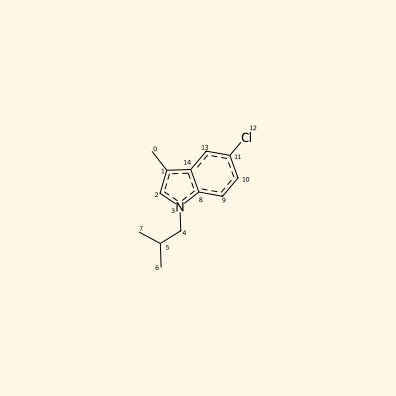 Cc1cn(CC(C)C)c2ccc(Cl)cc12